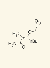 CCCC/C(OCC1CO1)=C(/C)C(N)=O